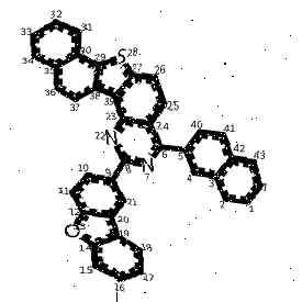 c1ccc2cc(-c3nc(-c4ccc5oc6ccccc6c5c4)nc4c3ccc3sc5c6ccccc6ccc5c34)ccc2c1